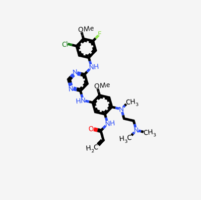 C=CC(=O)Nc1cc(Nc2cc(Nc3cc(F)c(OC)c(Cl)c3)ncn2)c(OC)cc1N(C)CCN(C)C